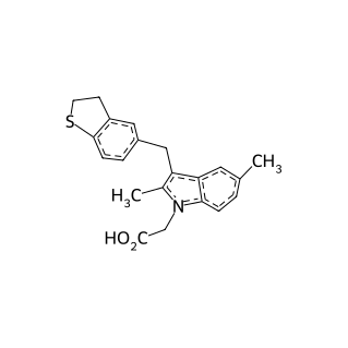 Cc1ccc2c(c1)c(Cc1ccc3c(c1)CCS3)c(C)n2CC(=O)O